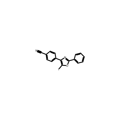 N#Cc1ccc(-c2nc(-c3ccccc3)oc2I)cc1